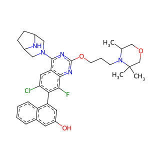 CC1COCC(C)(C)N1CCCOc1nc(N2CC3CCC(C2)N3)c2cc(Cl)c(-c3cc(O)cc4ccccc34)c(F)c2n1